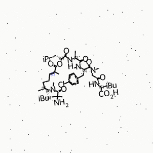 CCC(C)[C@H](NC(=O)CN(C)C(=O)[C@@H](Cc1ccc(Cl)cc1)N(C)C(=O)[C@H](C)NC(=O)[C@@H](CC(C)C)OC(=O)/C(C)=C/CC[C@H](C)[C@@H]([C@@H](C)CC)N(C)C(=O)C(C)(C)N)C(=O)O